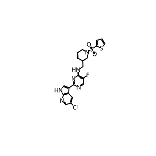 O=S(=O)(c1cccs1)N1CCCC(CNc2nc(-c3c[nH]c4ncc(Cl)cc34)ncc2F)C1